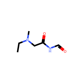 CCN(C)CC(=O)NC=O